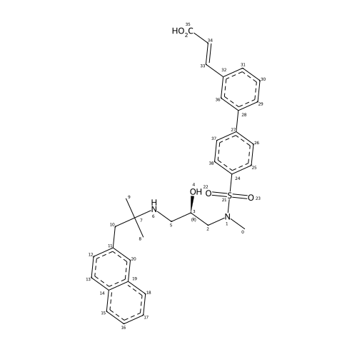 CN(C[C@H](O)CNC(C)(C)Cc1ccc2ccccc2c1)S(=O)(=O)c1ccc(-c2cccc(C=CC(=O)O)c2)cc1